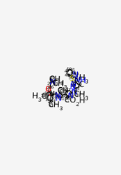 Cc1cc(N(C)c2ccc(-c3cnn(CC45CC6(C)CC(C)(C4)CC(OCCN(C)C)(C6)C5)c3C)c(C(=O)O)n2)nnc1Nc1nc2ccccc2s1